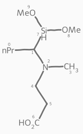 CCCC(N(C)CCC(=O)O)[SiH](OC)OC